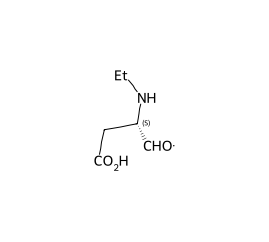 CCN[C@H]([C]=O)CC(=O)O